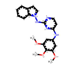 COc1cc(Nc2ccnc(Nn3ccc4ccccc43)n2)cc(OC)c1OC